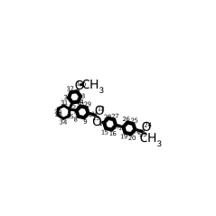 COc1ccc(C2(c3ccc(C(=O)Oc4ccc(-c5ccc(C(C)=O)cc5)cc4)cc3)CCCCC2)cc1